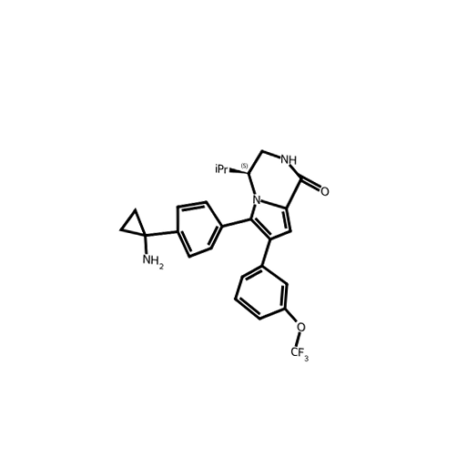 CC(C)[C@H]1CNC(=O)c2cc(-c3cccc(OC(F)(F)F)c3)c(-c3ccc(C4(N)CC4)cc3)n21